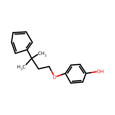 CC(C)(CCOc1ccc(O)cc1)c1ccccc1